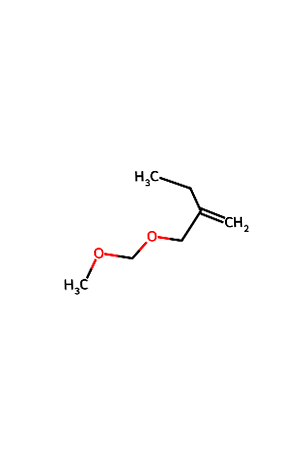 C=C(CC)COCOC